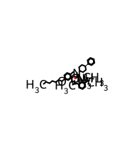 CCCCCCOc1ccc(CN(C(=O)Nc2c(C(C)C)cccc2C(C)C)[C@H]2CC[C@H](c3ccccc3)CC2)cc1